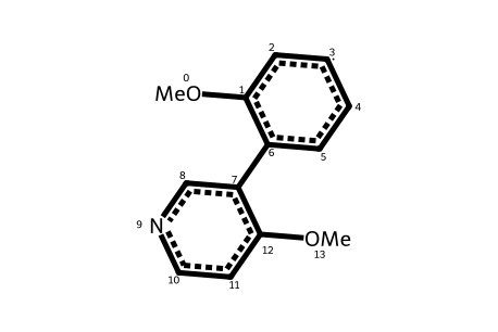 COc1c[c]ccc1-c1cnccc1OC